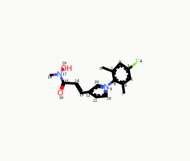 Cc1cc(F)cc(C)c1-n1ccc(C=CC(=O)N(C)O)c1